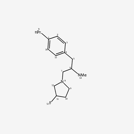 CCCc1ccc(CC(CN2CCC(F)C2)NC)cc1